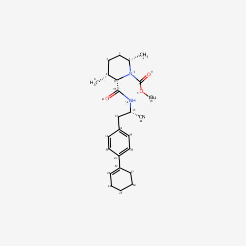 C[C@@H]1CC[C@H](C)N(C(=O)OC(C)(C)C)[C@@H]1C(=O)N[C@H](C#N)Cc1ccc(C2=CCCCC2)cc1